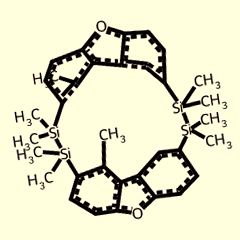 Cc1c2ccc3oc4ccc(cc4c13)[Si](C)(C)[Si](C)(C)c1ccc3oc4ccc(c(C)c4c3c1)[Si](C)(C)[Si]2(C)C